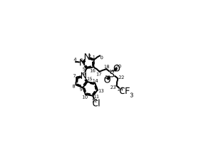 Cc1nn(C)c(-n2ccc3cc(Cl)ccc32)c1CCS(=O)(=O)CCC(F)(F)F